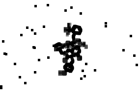 CN1CC(=O)N2C(CN(Cc3nccn3C)C(=O)[C@@H]2Cc2ccc(O)cc2)N1C(=O)NCc1ccccc1C(F)(F)F